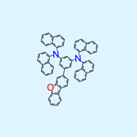 c1ccc2c(N(c3cc(-c4ccc5c(c4)oc4ccccc45)cc(N(c4cccc5ccccc45)c4cccc5ccccc45)c3)c3cccc4ccccc34)cccc2c1